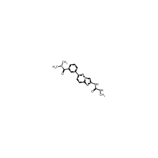 CNC(=O)Nc1cn2nc(-c3cccc(C(=O)N(C)C)c3)ccc2n1